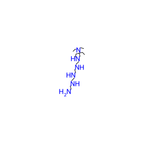 CCN(CC)C(CC)(CC)CNCCNCCNCCNCCN